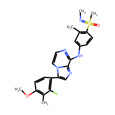 CN=S(C)(=O)c1ccc(Nc2nccn3c(-c4ccc(OC)c(C)c4F)cnc23)cc1C